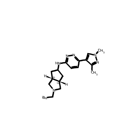 CCC(C)CN1C[C@H]2CC(Nc3ccc(-c4cn(C)nc4C)nn3)C[C@H]2C1